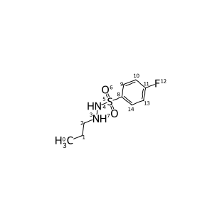 CCCNNS(=O)(=O)c1ccc(F)cc1